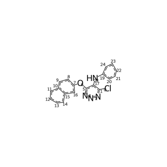 Clc1nnnc(Oc2ccc3ccccc3c2)c1Nc1ccccc1